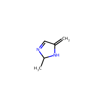 C=C1C=NC(C)N1